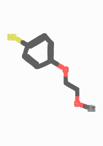 CCOCCOc1ccc(S)cc1